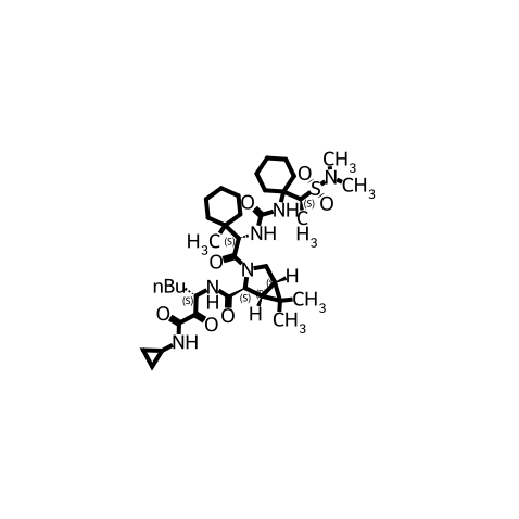 CCCC[C@H](NC(=O)[C@@H]1[C@@H]2[C@H](CN1C(=O)[C@@H](NC(=O)NC1([C@H](C)S(=O)(=O)N(C)C)CCCCC1)C1(C)CCCCC1)C2(C)C)C(=O)C(=O)NC1CC1